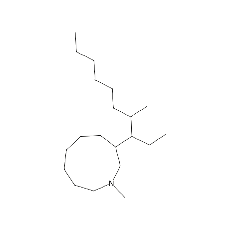 CCCCCCC(C)C(CC)C1CCCCCCN(C)C1